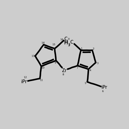 CC1=CCC(CC(C)C)=[C]1[Zr][C]1=C(CC(C)C)CC=C1C